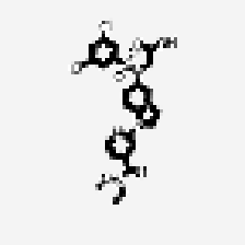 CCN(OC)C(=O)c1ccnc(-n2ccc3cc(N(CC(=O)O)S(=O)(=O)c4cc(Cl)cc(Cl)c4)ccc32)c1